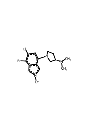 CCn1cc2c(N3CC[C@@H](N(C)C)C3)cc(Cl)c(Br)c2n1